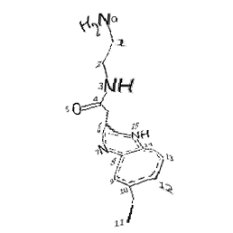 NCCNC(=O)c1nc2cc(I)ccc2[nH]1